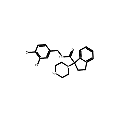 O=C(NCc1ccc(Cl)c(Cl)c1)C1(N2CCNCC2)CCc2ccccc21